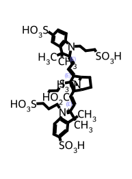 CN1C2CCC1/C(=C\C=C1\N(CCCS(=O)(=O)O)c3ccc(S(=O)(=O)O)cc3C1(C)C)C(SCCC(=O)O)=C2/C=C/C1=[N+](CCCS(=O)(=O)O)c2ccc(S(=O)(=O)O)cc2C1(C)C